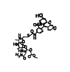 CCOC(=O)C1OC1C(=O)N(CC(N)=O)NC(=O)C(C)NC(=O)C(C)NC(=O)CCSCC(=O)Nc1ccc(-c2c3ccc(=O)cc-3oc3cc(O)ccc23)c(C(=O)O)c1